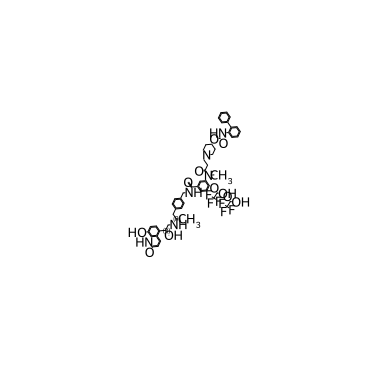 C[C@H](Cc1ccc(CNC(=O)c2cccc(N(C)C(=O)CCN3CCC(OC(=O)Nc4ccccc4-c4ccccc4)CC3)c2)cc1)NC[C@H](O)c1ccc(O)c2[nH]c(=O)ccc12.O=C(O)C(F)(F)F.O=C(O)C(F)(F)F